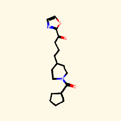 O=C(CCCC1CCN(C(=O)C2CCCC2)CC1)c1ncco1